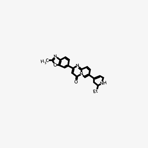 CCC1CC(c2ccc3nc(-c4ccc5nc(C)oc5c4)cc(=O)n3c2)=CCN1